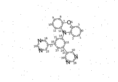 c1ccc2c(c1)Oc1ccccc1N2c1cc(-c2cncnc2)cc(-c2cncnc2)c1